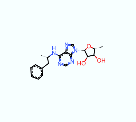 C[C@@H](Cc1ccccc1)Nc1ncnc2c1ncn2[C@@H]1O[C@H](C)[C@@H](O)[C@H]1O